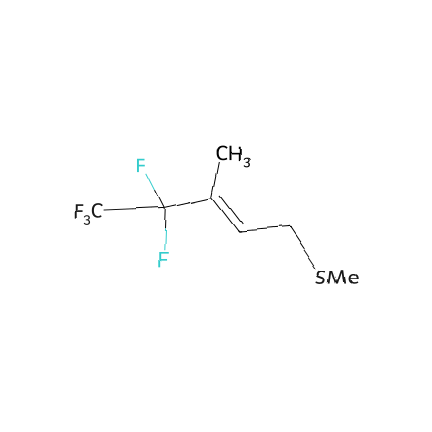 [CH2]SC/C=C(\C)C(F)(F)C(F)(F)F